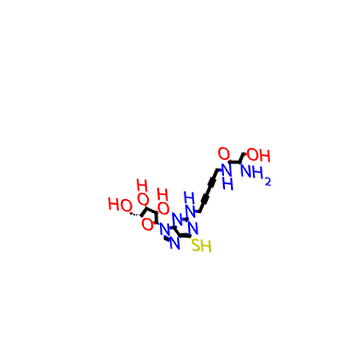 NC(CO)C(=O)NCC#CC#CCNc1nc(S)c2ncn([C@@H]3O[C@H](CO)[C@H](O)C3O)c2n1